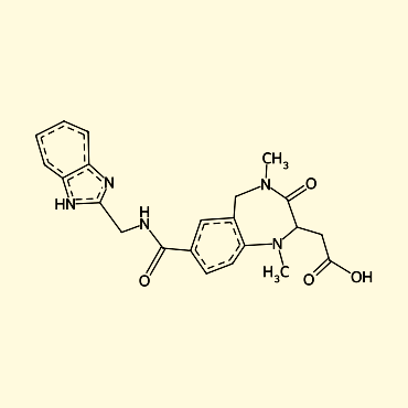 CN1Cc2cc(C(=O)NCc3nc4ccccc4[nH]3)ccc2N(C)C(CC(=O)O)C1=O